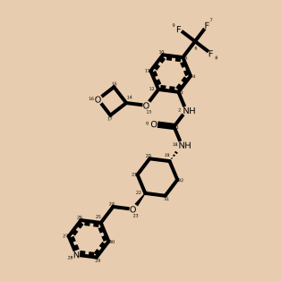 O=C(Nc1cc(C(F)(F)F)ccc1OC1COC1)N[C@H]1CC[C@H](OCc2ccncc2)CC1